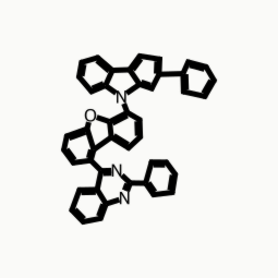 c1ccc(-c2ccc3c4ccccc4n(-c4cccc5c4oc4cccc(-c6nc(-c7ccccc7)nc7ccccc67)c45)c3c2)cc1